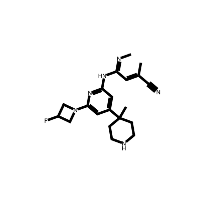 C/N=C(\C=C(/C)C#N)Nc1cc(C2(C)CCNCC2)cc(N2CC(F)C2)n1